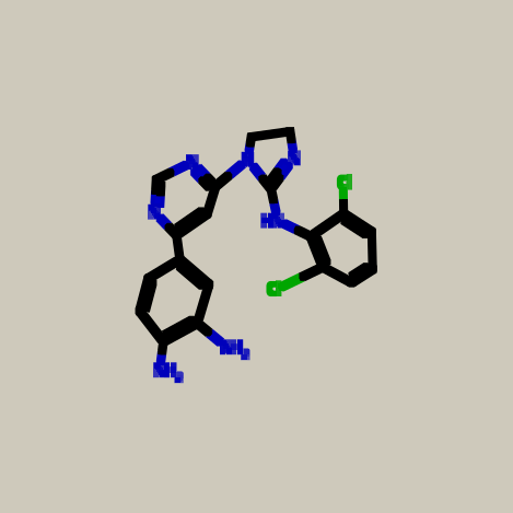 Nc1ccc(-c2cc(N3CCN=C3Nc3c(Cl)cccc3Cl)ncn2)cc1N